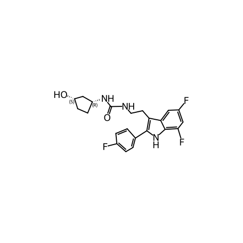 O=C(NCCc1c(-c2ccc(F)cc2)[nH]c2c(F)cc(F)cc12)N[C@@H]1CC[C@H](O)C1